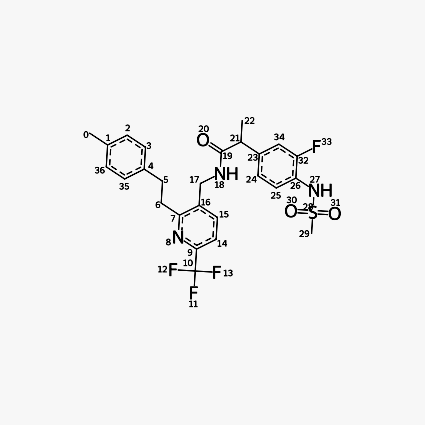 Cc1ccc(CCc2nc(C(F)(F)F)ccc2CNC(=O)C(C)c2ccc(NS(C)(=O)=O)c(F)c2)cc1